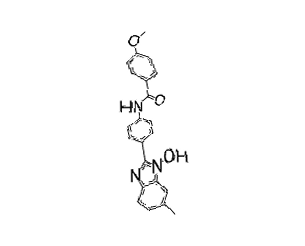 COc1ccc(C(=O)Nc2ccc(-c3nc4ccc(C)cc4n3O)cc2)cc1